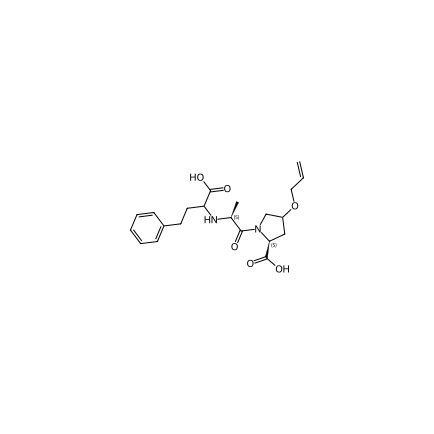 C=CCOC1C[C@@H](C(=O)O)N(C(=O)[C@H](C)NC(CCc2ccccc2)C(=O)O)C1